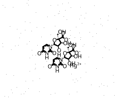 O=C([O-])[C@]1(CO)O[C@@H](n2ccc(=O)[nH]c2=O)[C@H](O)[C@@H]1O.O=C([O-])[C@]1(CO)O[C@@H](n2ccc(=O)[nH]c2=O)[C@H](O)[C@@H]1O.[Hg+2]